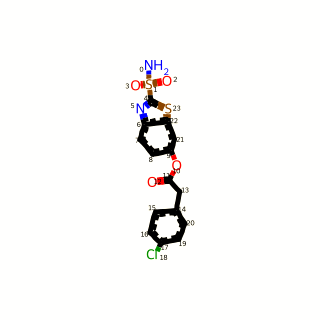 NS(=O)(=O)c1nc2ccc(OC(=O)Cc3ccc(Cl)cc3)cc2s1